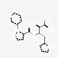 NC(=O)C(=O)C(Cc1ccco1)NC(=O)c1ccnn1-c1cccnc1